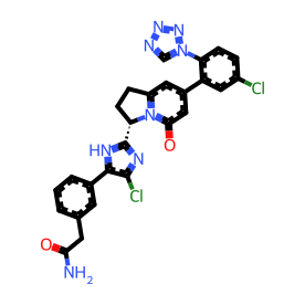 NC(=O)Cc1cccc(-c2[nH]c([C@@H]3CCc4cc(-c5cc(Cl)ccc5-n5cnnn5)cc(=O)n43)nc2Cl)c1